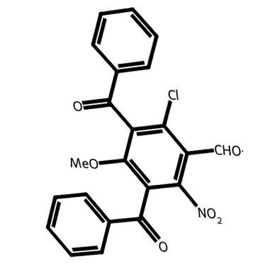 COc1c(C(=O)c2ccccc2)c(Cl)c([C]=O)c([N+](=O)[O-])c1C(=O)c1ccccc1